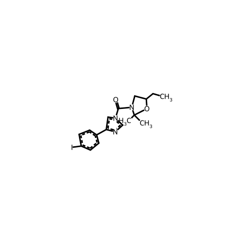 CCC1CN(C(=O)n2cnc(-c3ccc(I)cc3)c2)C(C)(C)O1